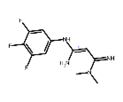 CN(C)C(=N)/C=C(\N)Nc1cc(F)c(F)c(F)c1